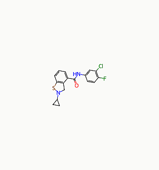 O=C(Nc1ccc(F)c(Cl)c1)c1cccc2c1CN(C1CC1)S2